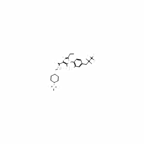 CCc1nc(C(=O)NC[C@H]2CC[C@H](S(C)(=O)=O)CC2)c(Cl)n1-c1ccc(CC(C)(C)C(F)(F)F)cc1F